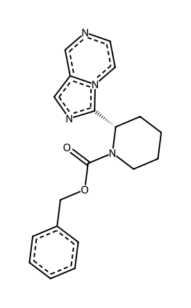 O=C(OCc1ccccc1)N1CCCC[C@H]1c1ncc2cnccn12